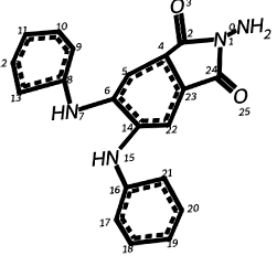 NN1C(=O)c2cc(Nc3ccccc3)c(Nc3ccccc3)cc2C1=O